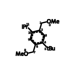 COCc1cc(C(C)(C)C)c(COC)cc1C(C)C